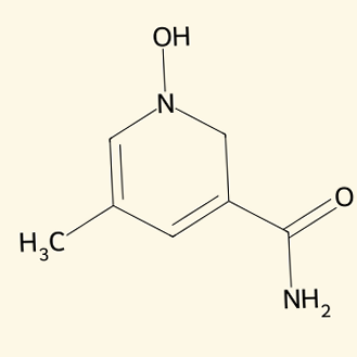 CC1=CN(O)CC(C(N)=O)=C1